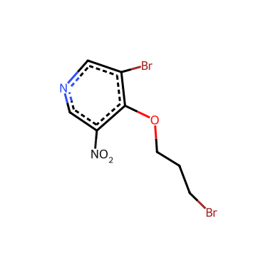 O=[N+]([O-])c1cncc(Br)c1OCCCBr